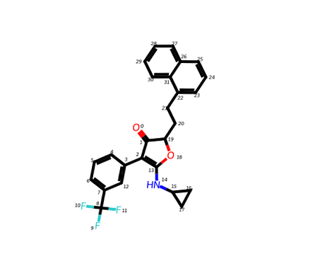 O=C1C(c2cccc(C(F)(F)F)c2)=C(NC2CC2)OC1CCc1cccc2ccccc12